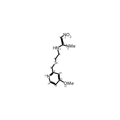 CN/C(=C\[N+](=O)[O-])NCCSCc1cc(OC)ccn1